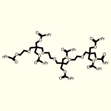 CCCC(=O)OCCOCC(COCCOCC(COCCOCC(COC(=O)CCC)(COC(=O)CCC)COC(=O)CCC)(COC(=O)CCC)COC(=O)CCC)(COC(=O)CCC)COC(=O)CCC